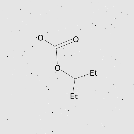 CCC(CC)OC([O])=O